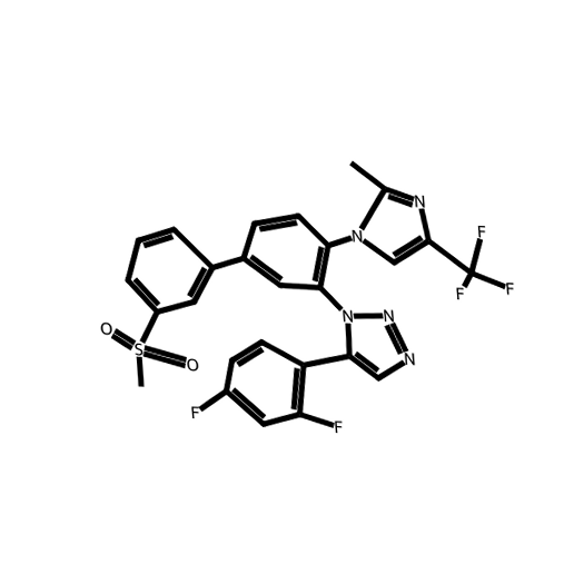 Cc1nc(C(F)(F)F)cn1-c1ccc(-c2cccc(S(C)(=O)=O)c2)cc1-n1nncc1-c1ccc(F)cc1F